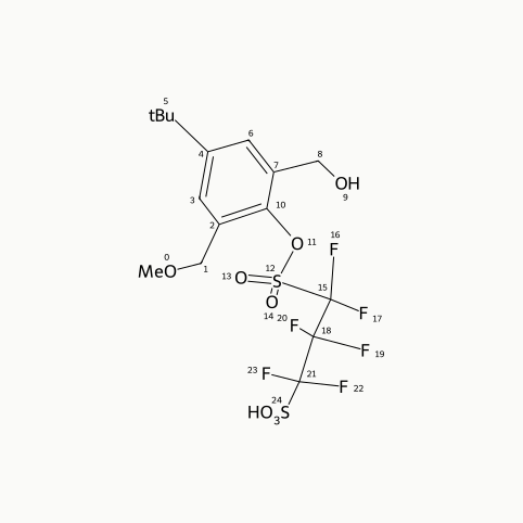 COCc1cc(C(C)(C)C)cc(CO)c1OS(=O)(=O)C(F)(F)C(F)(F)C(F)(F)S(=O)(=O)O